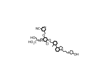 Cc1c(COc2cc(OCc3cncc(C#N)c3)c(CN[C@@H](CO)C(=O)O)cc2Cl)cccc1-c1cccc2c1CCN2CCCN1CCC(O)C1